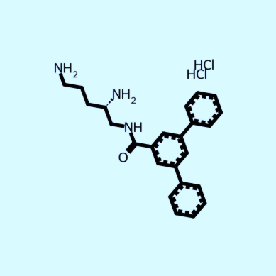 Cl.Cl.NCCC[C@H](N)CNC(=O)c1cc(-c2ccccc2)cc(-c2ccccc2)c1